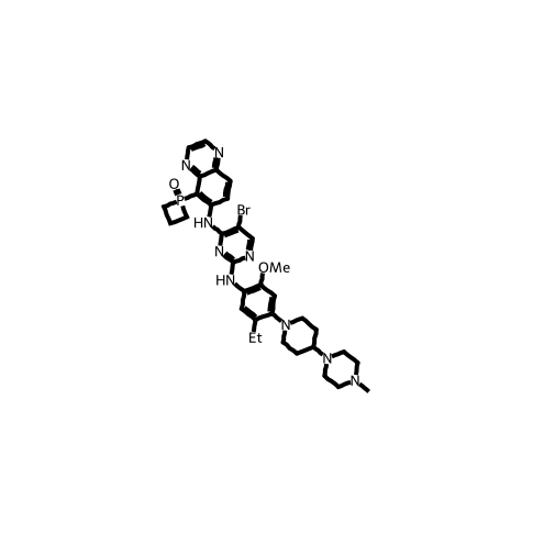 CCc1cc(Nc2ncc(Br)c(Nc3ccc4nccnc4c3P3(=O)CCC3)n2)c(OC)cc1N1CCC(N2CCN(C)CC2)CC1